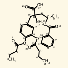 CCCC(=O)Oc1ccc(CC(N)(C[C@H](C)OC(=O)c2ccccc2)C(=O)O)cc1OC(=O)CCC